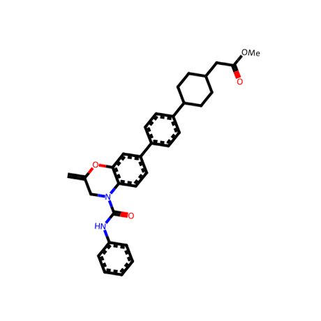 C=C1CN(C(=O)Nc2ccccc2)c2ccc(-c3ccc(C4CCC(CC(=O)OC)CC4)cc3)cc2O1